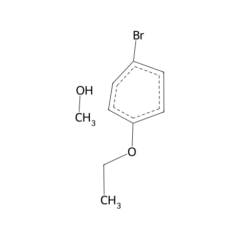 CCOc1ccc(Br)cc1.CO